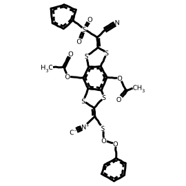 [C-]#[N+]C(SOOc1ccccc1)=C1Sc2c(OC(C)=O)c3c(c(OC(C)=O)c2S1)SC(=C(C#N)S(=O)(=O)c1ccccc1)S3